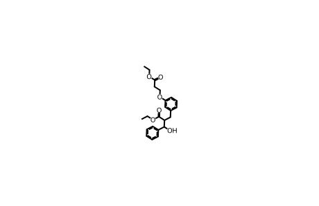 CCOC(=O)CCOc1cccc(CC(C(=O)OCC)C(O)c2ccccc2)c1